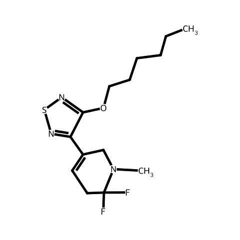 CCCCCCOc1nsnc1C1=CCC(F)(F)N(C)C1